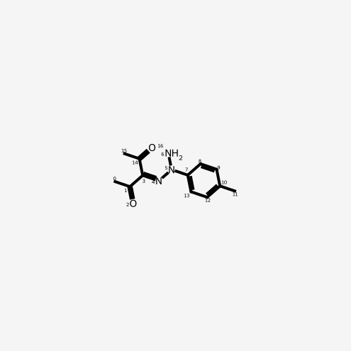 CC(=O)C(=NN(N)c1ccc(C)cc1)C(C)=O